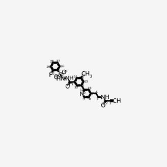 C#CC(=O)NCCc1ccnc(-c2cc(C)cc(C(=O)NNS(=O)(=O)c3ccccc3F)c2)c1